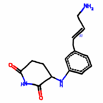 NC/C=C/c1cccc(NC2CCC(=O)NC2=O)c1